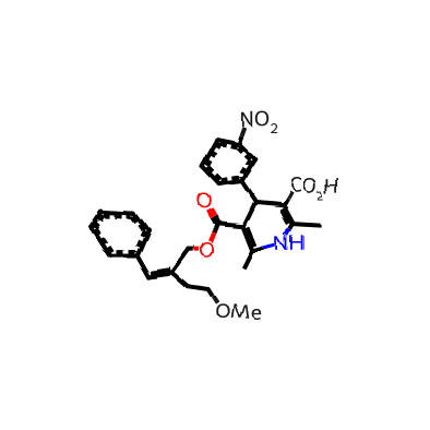 COCCC(=Cc1ccccc1)COC(=O)C1=C(C)NC(C)=C(C(=O)O)C1c1cccc([N+](=O)[O-])c1